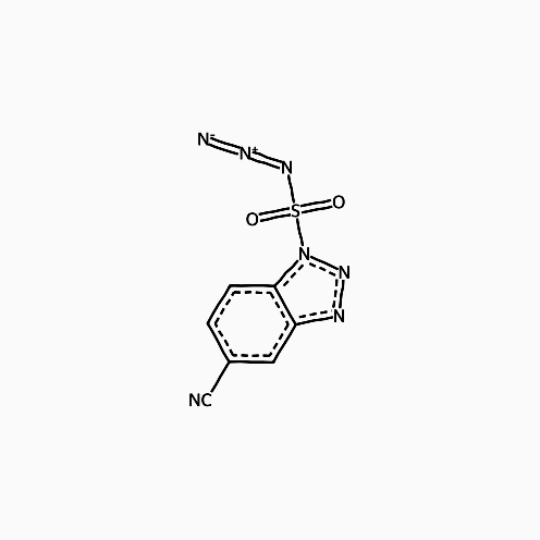 N#Cc1ccc2c(c1)nnn2S(=O)(=O)N=[N+]=[N-]